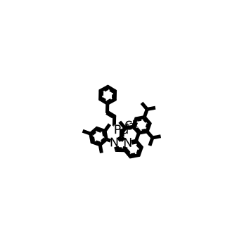 Cc1cc(C)c(-n2cc3cccc(-c4c(C(C)C)cc(C(C)C)cc4C(C)C)n3[c]2=[Pd-2]([Cl])[CH2]C=Cc2ccccc2)c(C)c1